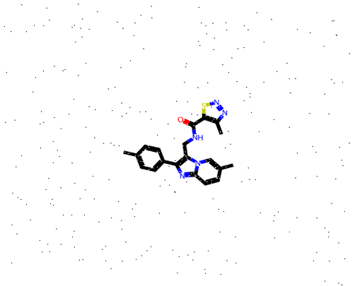 Cc1ccc(-c2nc3ccc(C)cn3c2CNC(=O)c2snnc2C)cc1